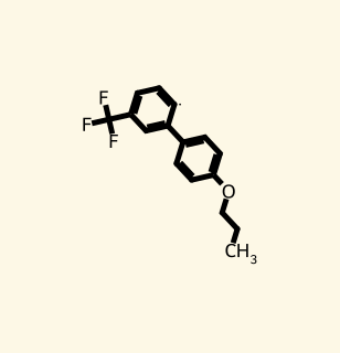 CCCOc1ccc(-c2[c]ccc(C(F)(F)F)c2)cc1